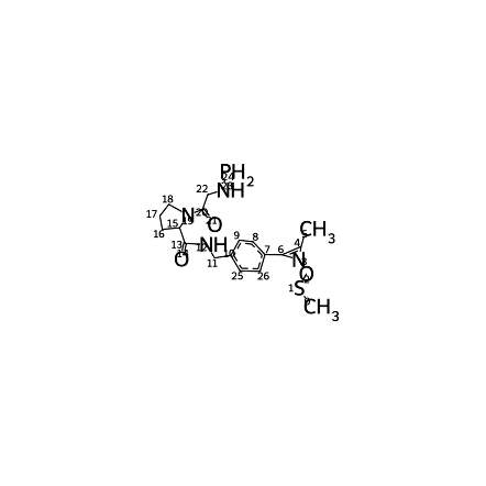 CSON1C(C)=C1c1ccc(CNC(=O)C2CCCN2C(=O)CNP)cc1